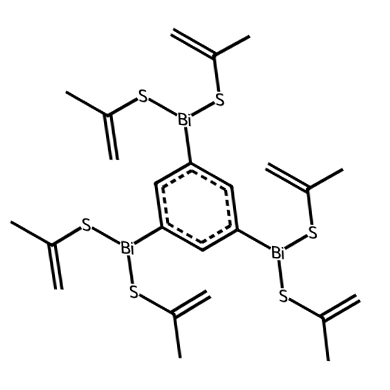 C=C(C)[S][Bi]([S]C(=C)C)[c]1c[c]([Bi]([S]C(=C)C)[S]C(=C)C)c[c]([Bi]([S]C(=C)C)[S]C(=C)C)c1